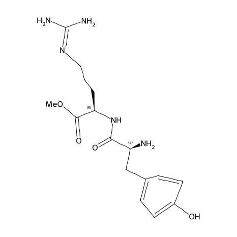 COC(=O)[C@@H](CCCN=C(N)N)NC(=O)[C@@H](N)Cc1ccc(O)cc1